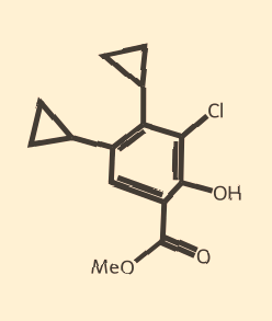 COC(=O)c1cc(C2CC2)c(C2CC2)c(Cl)c1O